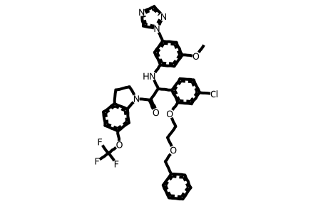 COc1cc(NC(C(=O)N2CCc3ccc(OC(F)(F)F)cc32)c2ccc(Cl)cc2OCCOCc2ccccc2)cc(-n2cncn2)c1